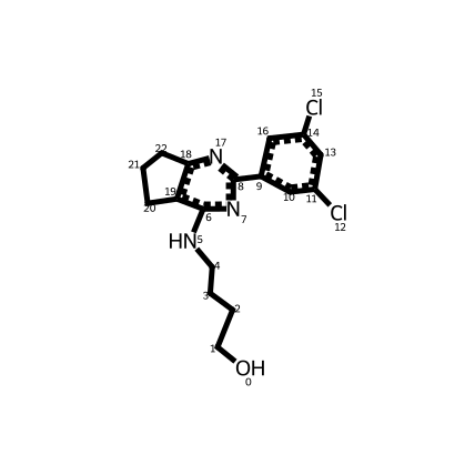 OCCCCNc1nc(-c2cc(Cl)cc(Cl)c2)nc2c1CCC2